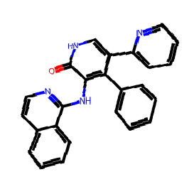 O=c1[nH]cc(-c2ccccn2)c(-c2ccccc2)c1Nc1nccc2ccccc12